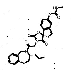 CCC[C@@H]1CCc2ccccc2CN1C(=O)CN1C(=O)O[C@]2(CCc3cc(NC(=O)NC)ccc32)C1=O